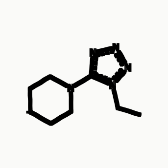 CCn1nnnc1N1CC[CH]CC1